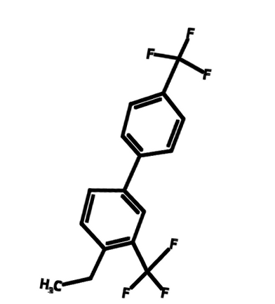 CCc1ccc(-c2ccc(C(F)(F)F)cc2)cc1C(F)(F)F